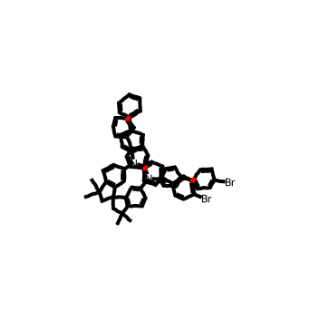 CC1(C)CC2(CC(C)(C)c3ccc(N(c4ccc(-c5ccccc5)cc4)c4ccc(-c5ccc(Br)cc5)cc4)cc32)c2cc(N(c3ccc(-c4ccccc4)cc3)c3ccc(-c4ccc(Br)cc4)cc3)ccc21